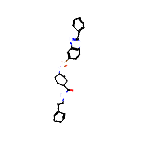 O=C(NCCc1ccccc1)C1CCC(NS(=O)(=O)c2ccc3[nH]c(-c4ccccc4)nc3c2)CC1